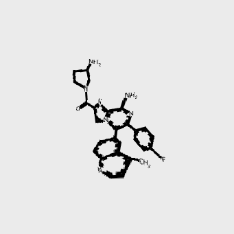 Cc1ccnc2ccc(-c3c(-c4ccc(F)cc4)nc(N)c4nc(C(=O)N5CCC(N)C5)cn34)cc12